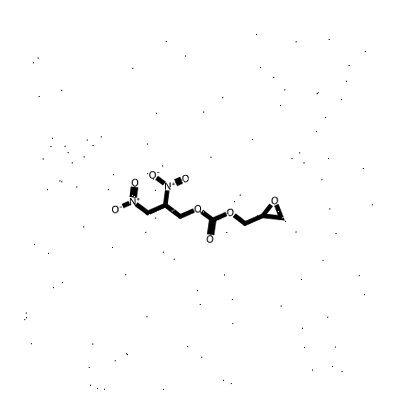 O=C(OCC1CO1)OCC(C[N+](=O)[O-])[N+](=O)[O-]